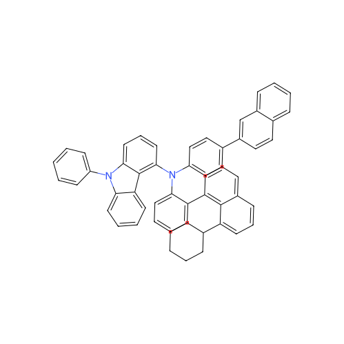 c1ccc(-n2c3ccccc3c3c(N(c4ccc(-c5ccc6ccccc6c5)cc4)c4ccccc4-c4cccc5cccc(C6CCCCC6)c45)cccc32)cc1